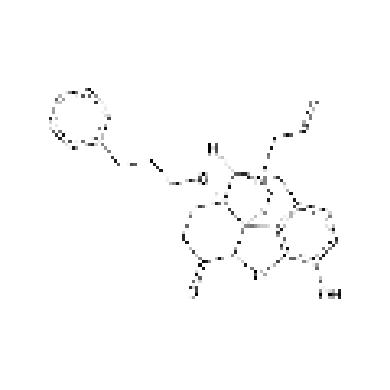 C=CCN1CC[C@]23c4c5ccc(O)c4OC2C(=O)CC[C@@]3(OCCCc2ccccc2)[C@H]1C5